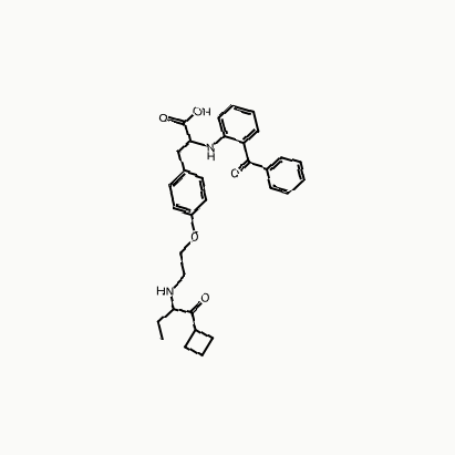 CCC(NCCOc1ccc(CC(Nc2ccccc2C(=O)c2ccccc2)C(=O)O)cc1)C(=O)C1CCC1